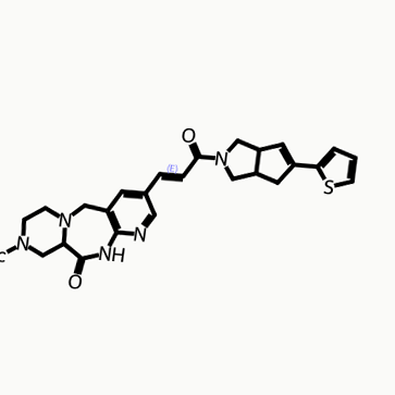 CC(=O)N1CCN2Cc3cc(/C=C/C(=O)N4CC5C=C(c6cccs6)CC5C4)cnc3NC(=O)C2C1